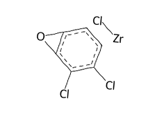 Clc1ccc2c(c1Cl)O2.[Cl][Zr]